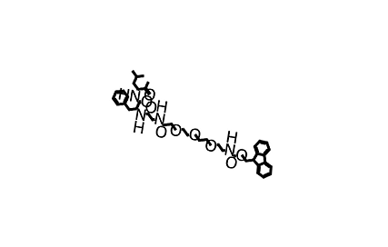 CC(=O)C(CC(C)C)NC(=O)C(Cc1ccccc1)NC(=O)CNC(=O)COCCOCCOCCNC(=O)OCC1c2ccccc2-c2ccccc21